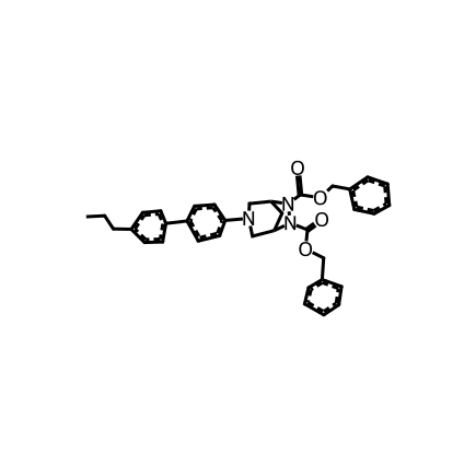 CCCc1ccc(-c2ccc(N3CC4CC(C3)N(C(=O)OCc3ccccc3)N4C(=O)OCc3ccccc3)cc2)cc1